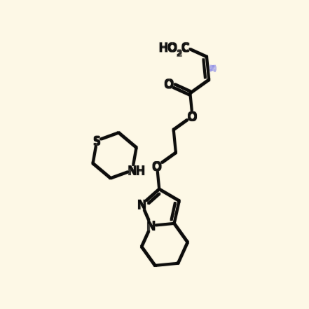 C1CSCCN1.O=C(O)/C=C\C(=O)OCCOc1cc2n(n1)CCCC2